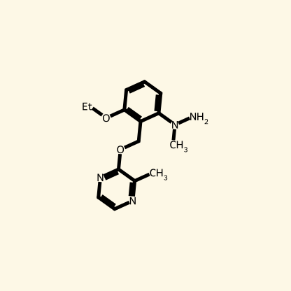 CCOc1cccc(N(C)N)c1COc1nccnc1C